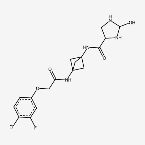 O=C(COc1ccc(Cl)c(F)c1)NC12CC(NC(=O)C3CNC(O)N3)(C1)C2